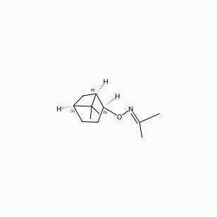 CC(C)=NO[C@H]1CC[C@H]2C[C@@H]1C2(C)C